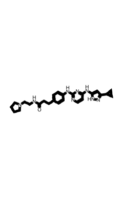 O=C(CCc1ccc(Nc2nccc(Nc3cc(C4CC4)n[nH]3)n2)cc1)NCCN1CCCC1